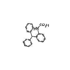 O=C(O)Nc1ccccc1C(c1ccccc1)c1ccccc1